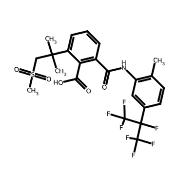 Cc1ccc(C(F)(C(F)(F)F)C(F)(F)F)cc1NC(=O)c1cccc(C(C)(C)CS(C)(=O)=O)c1C(=O)O